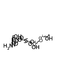 C=C1/C(=C\C=C2/CCC[C@@]3(C)C2CCC3[C@@H](C)/C=C/C(O)C2CC2)C[C@@H](O)C[C@@H]1OC(=O)CCSSCCC(=O)OCC1OC(n2ccc(N)nc2=O)C(F)(F)C1O